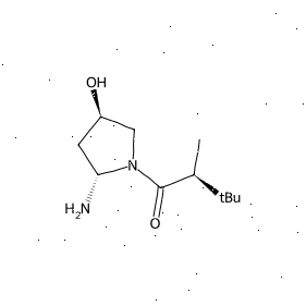 C[C@H](C(=O)N1C[C@H](O)C[C@H]1N)C(C)(C)C